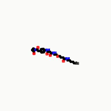 CC(=O)CCCCCNC(=O)CCCOCCNC(=O)CC(=O)Nc1ccc(CC(=O)N2CCC2=O)cc1